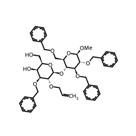 C=CCO[C@H]1[C@H](O[C@H]2[C@H](OCc3ccccc3)[C@@H](OCc3ccccc3)[C@H](OC)O[C@@H]2COCc2ccccc2)O[C@H](CO)[C@H](O)[C@@H]1OCc1ccccc1